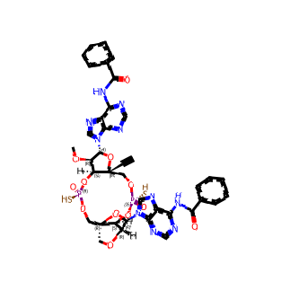 C#C[C@@]12CO[P@](=O)(S)O[C@H]3[C@H]4OC[C@]3(CO[P@@](=O)(S)O[C@H]1[C@@H](OC)[C@H](n1cnc3c(NC(=O)c5ccccc5)ncnc31)O2)O[C@H]4n1cnc2c(NC(=O)c3ccccc3)ncnc21